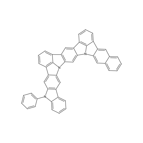 c1ccc(-n2c3ccccc3c3cc4c(cc32)c2cccc3c5cc6c7cccc8c9cc%10ccccc%10cc9n(c6cc5n4c23)c87)cc1